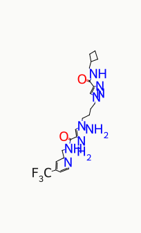 N/C(=C\N(N)CCCCn1cc(C(=O)NCC2CCC2)nn1)C(=O)NCc1cc(C(F)(F)F)ccn1